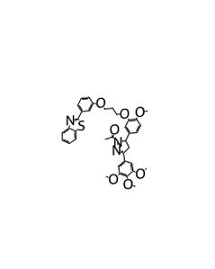 COc1ccc(C2CC(c3cc(OC)c(OC)c(OC)c3)=NN2C(C)=O)cc1OCCCOc1cccc(-c2nc3ccccc3s2)c1